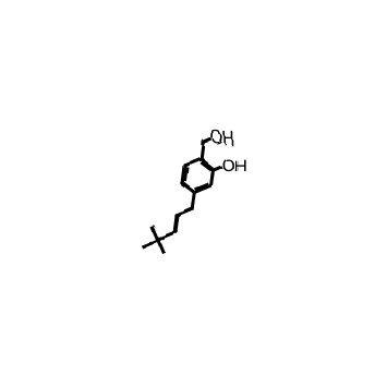 CC(C)(C)CCCc1ccc(CO)c(O)c1